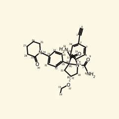 C#Cc1ccc([N+]2(C(N)=O)C[C@H](OCC)C[C@]2(C(N)=O)c2ccc(N3CCCCC3=O)cc2)cc1